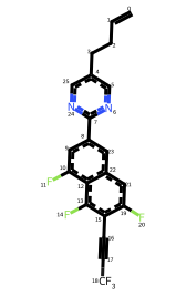 C=CCCc1cnc(-c2cc(F)c3c(F)c(C#CC(F)(F)F)c(F)cc3c2)nc1